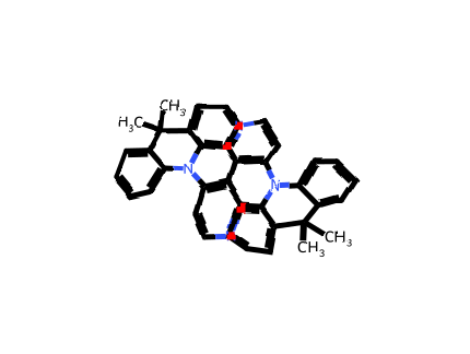 CC1(C)c2ccccc2N(c2ccncc2-c2cnccc2N2c3ccccc3C(C)(C)c3ccccc32)c2ccccc21